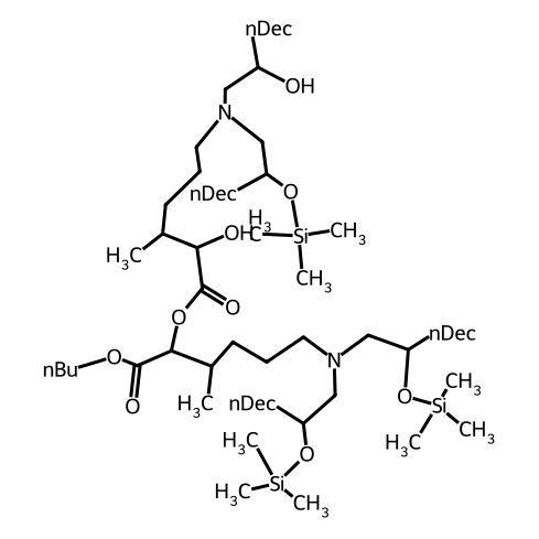 CCCCCCCCCCC(O)CN(CCCC(C)C(O)C(=O)OC(C(=O)OCCCC)C(C)CCCN(CC(CCCCCCCCCC)O[Si](C)(C)C)CC(CCCCCCCCCC)O[Si](C)(C)C)CC(CCCCCCCCCC)O[Si](C)(C)C